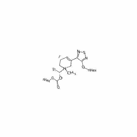 CCCCCCOC(=O)OC(CC)[N+]1(C)CCC=C(c2nsnc2OCCCCCC)C1.[I-]